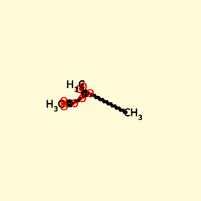 CCCCCCCCCCCCCCCCCCOc1cc(OCCCOc2ccc(S(C)(=O)=O)cc2)cc(C(=O)OC)c1